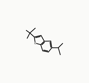 CC(C)c1ccc2oc(C(C)(C)C)cc2c1